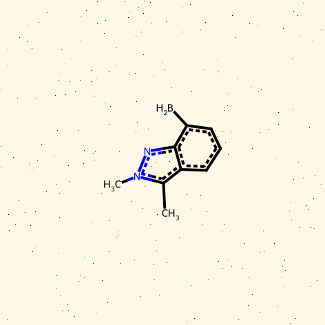 Bc1cccc2c(C)n(C)nc12